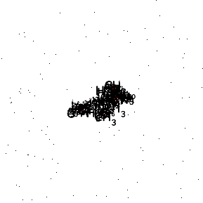 COC(=O)NC(C(=O)N[C@@H](Cc1ccc(-c2ccc(N3C[C@H]4CC[C@@H]3CN4C3COC3)nc2)cc1)[C@@H](O)CN(Cc1c(F)cc(-c2ccn(C3CC3)n2)cc1F)NC(=O)[C@@H](NC(=O)OC)C(C)(C)C(F)(F)F)C(C)(C)C(F)(F)F